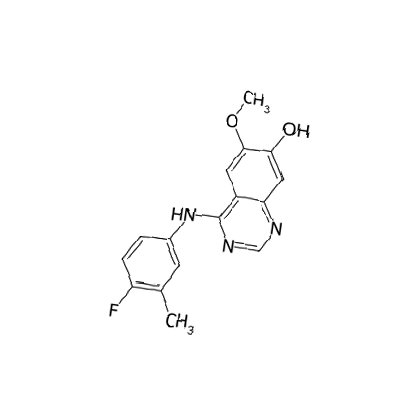 COc1cc2c(Nc3ccc(F)c(C)c3)ncnc2cc1O